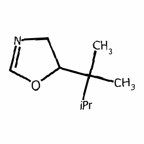 CC(C)C(C)(C)C1CN=CO1